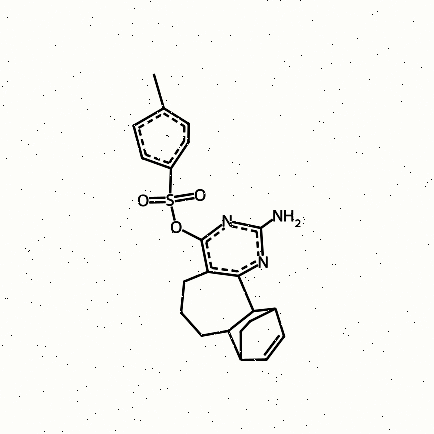 Cc1ccc(S(=O)(=O)Oc2nc(N)nc3c2CCCC2C4C=CC(CC4)C32)cc1